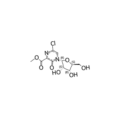 COC(=O)c1nc(Cl)cn([C@@H]2O[C@@H](CO)[C@H](O)[C@@H]2O)c1=O